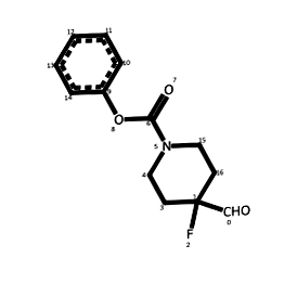 O=CC1(F)CCN(C(=O)Oc2ccccc2)CC1